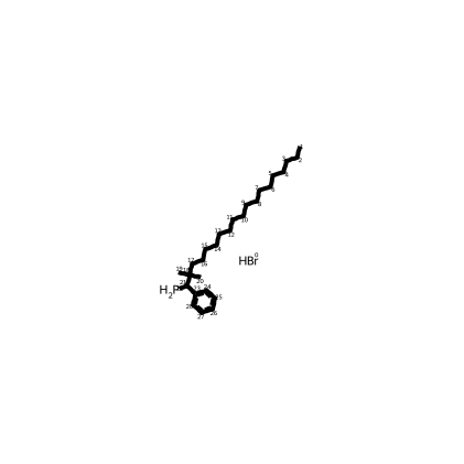 Br.CCCCCCCCCCCCCCCCCC(C)(C)C(P)c1ccccc1